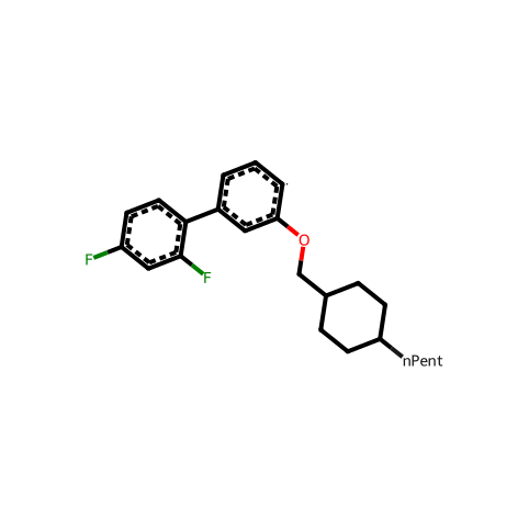 CCCCCC1CCC(COc2[c]ccc(-c3ccc(F)cc3F)c2)CC1